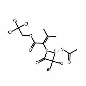 CC(=O)S[C@H]1N(C(C(=O)OCC(Cl)(Cl)Cl)=C(C)C)C(=O)C1(Br)Br